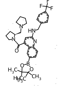 CC1(C)OB(c2ccc3nc(NCc4ccc(C(F)(F)F)cc4)cc(C(=O)N4CCC[C@H]4CN4CCCC4)c3c2)OC1(C)C